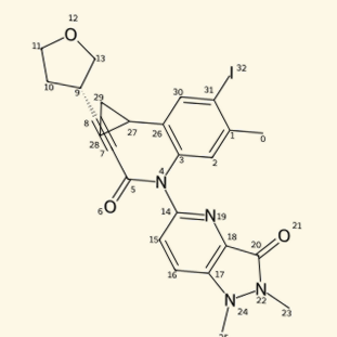 Cc1cc(N(C(=O)C#C[C@@H]2CCOC2)c2ccc3c(n2)c(=O)n(C)n3C)c(C2CC2)cc1I